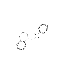 O=[N+]([O-])c1ccc(S(=O)(=O)N[C@@H]2CCCc3ccccc32)cc1